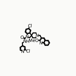 COc1nc2ccccc2cc1CN1CCC2(CC1)CN(C(=O)NCc1ccnc(Cl)c1)c1ccc(Cl)cc12